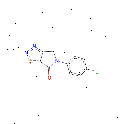 O=C1c2snnc2CN1c1ccc(Cl)cc1